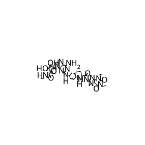 CCNC(=O)[C@@H]1O[C@@H](n2cnc3c(N)nc(Nc4ccc5c(c4)CCC(C(=O)Nc4nc6c(c(=O)n(CC)c(=O)n6CC)n4C)N5)nc32)[C@H](O)[C@@H]1O